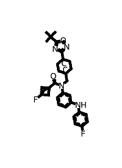 CC(C)(C)c1nc(C23CCC(CN(C(=O)C45CC(F)(C4)C5)c4cccc(Nc5ccc(F)cc5)c4)(CC2)CC3)no1